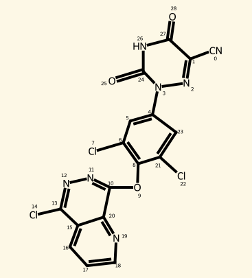 N#Cc1nn(-c2cc(Cl)c(Oc3nnc(Cl)c4cccnc34)c(Cl)c2)c(=O)[nH]c1=O